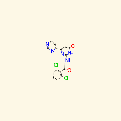 Cn1c(NCC(=O)c2c(Cl)cccc2Cl)nc(-c2ccncn2)cc1=O